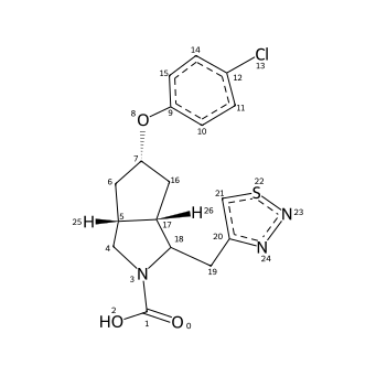 O=C(O)N1C[C@@H]2C[C@H](Oc3ccc(Cl)cc3)C[C@@H]2C1Cc1csnn1